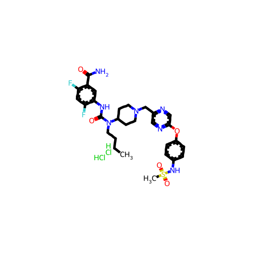 CCCCN(C(=O)Nc1cc(C(N)=O)c(F)cc1F)C1CCN(Cc2cnc(Oc3ccc(NS(C)(=O)=O)cc3)cn2)CC1.Cl.Cl